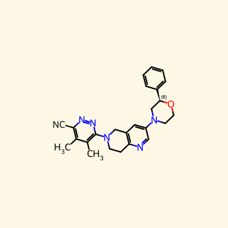 Cc1c(C#N)nnc(N2CCc3ncc(N4CCO[C@H](c5ccccc5)C4)cc3C2)c1C